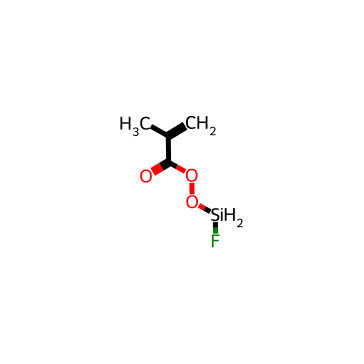 C=C(C)C(=O)OO[SiH2]F